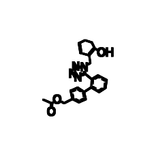 CC(=O)OCc1ccc(-c2ccccc2-c2nnnn2CC2=C(O)CCC=C2)cc1